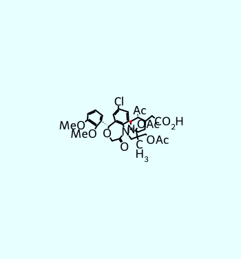 COc1cccc([C@H]2OCC(=O)[N+](CC(C)(COC(C)=O)COC(C)=O)(N3CCC(CC(=O)O)[C@@H](C(C)=O)C3)c3ccc(Cl)cc32)c1OC